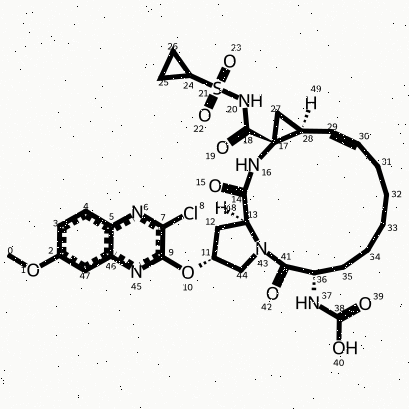 COc1ccc2nc(Cl)c(O[C@@H]3C[C@H]4C(=O)N[C@]5(C(=O)NS(=O)(=O)C6CC6)C[C@H]5/C=C\CCCCC[C@H](NC(=O)O)C(=O)N4C3)nc2c1